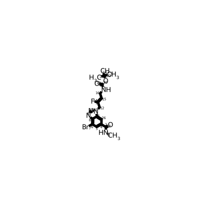 CNC(=O)c1cc(Br)c2nnn(C/C(F)=C/CNC(=O)OC(C)(C)C)c2c1